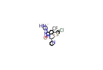 C[C@@H]1CN(c2nc(=O)n3c4c(c(-c5cc(Cl)cs5)c(C(F)(F)F)cc24)SC[C@@H](c2ccccn2)C3)C[C@H](C)N1